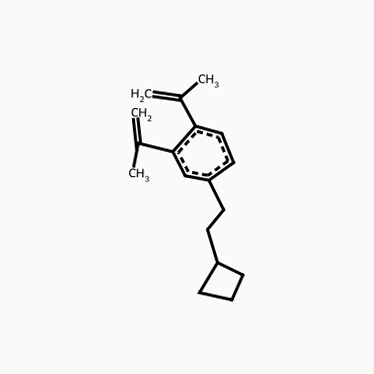 C=C(C)c1ccc(CCC2CCC2)cc1C(=C)C